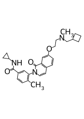 Cc1ccc(C(=O)NC2CC2)cc1-n1ccc2ccc(OCCN(C)CC3CCC3)cc2c1=O